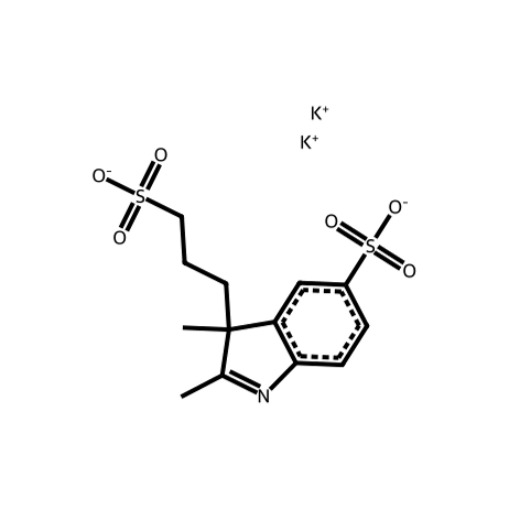 CC1=Nc2ccc(S(=O)(=O)[O-])cc2C1(C)CCCS(=O)(=O)[O-].[K+].[K+]